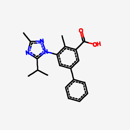 Cc1nc(C(C)C)n(-c2cc(-c3ccccc3)cc(C(=O)O)c2C)n1